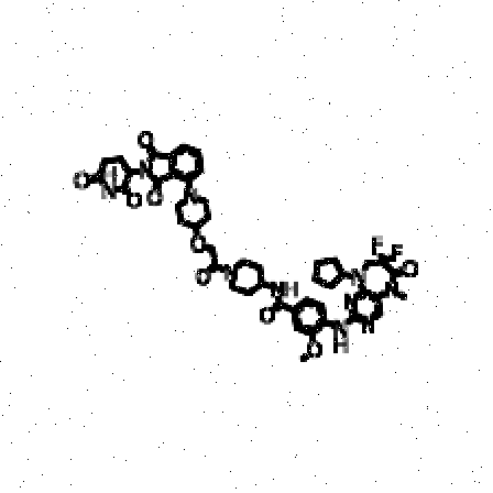 COc1cc(C(=O)NC2CCN(C(=O)COC3CCN(c4cccc5c4C(=O)N(C4CCC(=O)NC4=O)C5=O)CC3)CC2)ccc1Nc1ncc2c(n1)N(C1CCCC1)CC(F)(F)C(=O)N2C